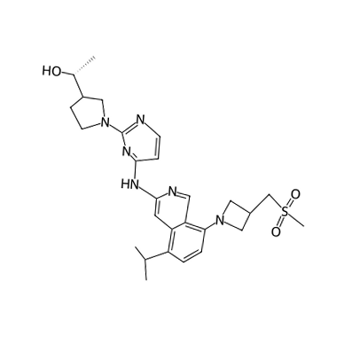 CC(C)c1ccc(N2CC(CS(C)(=O)=O)C2)c2cnc(Nc3ccnc(N4CCC([C@@H](C)O)C4)n3)cc12